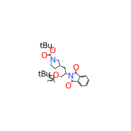 CC(C)(C)OC(=O)N1CC[C@H](CC(CO[Si](C)(C)C(C)(C)C)N2C(=O)c3ccccc3C2=O)C1